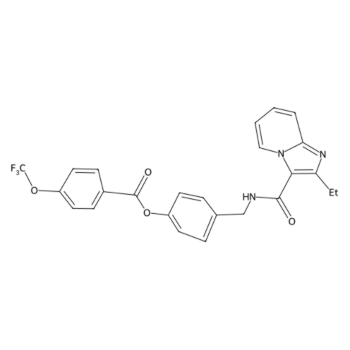 CCc1nc2ccccn2c1C(=O)NCc1ccc(OC(=O)c2ccc(OC(F)(F)F)cc2)cc1